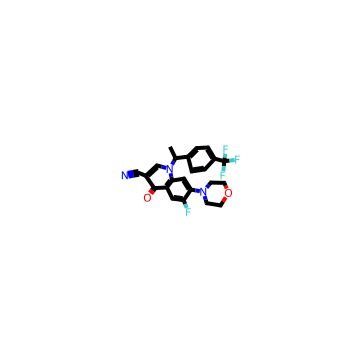 CC(c1ccc(C(F)(F)F)cc1)n1cc(C#N)c(=O)c2cc(F)c(N3CCOCC3)cc21